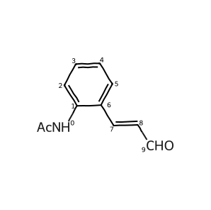 CC(=O)Nc1ccccc1C=CC=O